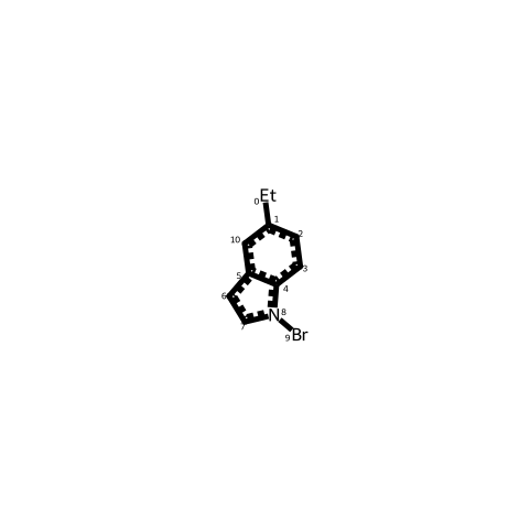 CCc1ccc2c(ccn2Br)c1